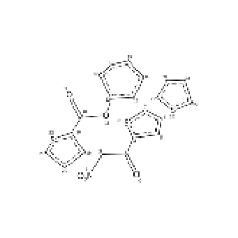 O=C(C[N+](=O)[O-])c1cccs1.O=C(Oc1ccccc1)c1cccs1.c1ccsc1